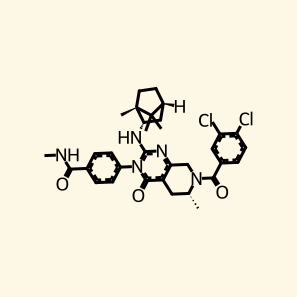 CNC(=O)c1ccc(-n2c(N[C@H]3C[C@H]4CC[C@]3(C)C4(C)C)nc3c(c2=O)C[C@@H](C)N(C(=O)c2ccc(Cl)c(Cl)c2)C3)cc1